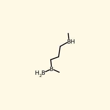 BB(C)CCCBC